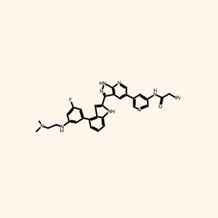 CC(C)CC(=O)Nc1cncc(-c2cnc3[nH]nc(-c4cc5c(-c6cc(F)cc(NCCN(C)C)c6)cccc5[nH]4)c3c2)c1